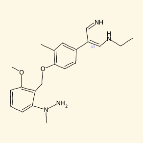 CCN/C=C(\C=N)c1ccc(OCc2c(OC)cccc2N(C)N)c(C)c1